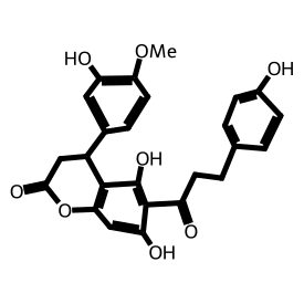 COc1ccc(C2CC(=O)Oc3cc(O)c(C(=O)CCc4ccc(O)cc4)c(O)c32)cc1O